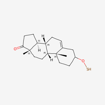 C[C@]12CCC(OS)CC1=CC[C@@H]1[C@H]2CC[C@]2(C)C(=O)CC[C@@H]12